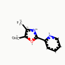 O=Cc1oc(-c2ccccn2)nc1C(F)(F)F